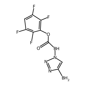 Bc1cn(BC(=O)Oc2c(F)c(F)cc(F)c2F)nn1